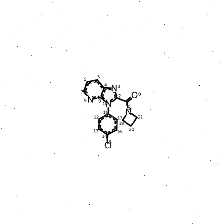 O=C(c1nc2cccnc2n1-c1ccc(Cl)cc1)N1CCC1